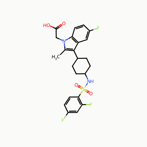 Cc1c(C2CCC(NS(=O)(=O)c3ccc(F)cc3F)CC2)c2cc(F)ccc2n1CC(=O)O